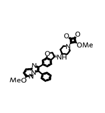 COc1ccc2nc(-c3ccc4c(c3)OC[C@@H]4NC3CCN(c4c(OC)c(=O)c4=O)CC3)c(-c3ccccc3)n2n1